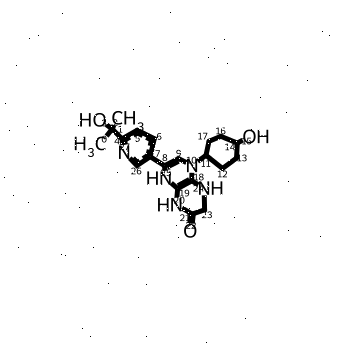 CC(C)(O)c1ccc(C2=CN(C3CCC(O)CC3)C3=C(NC(=O)CN3)N2)cn1